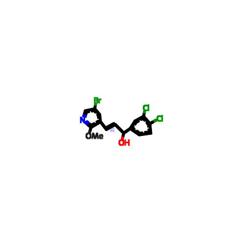 COc1ncc(Br)cc1/C=C/C(O)c1ccc(Cl)c(Cl)c1